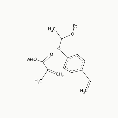 C=C(C)C(=O)OC.C=Cc1ccc(OC(C)OCC)cc1